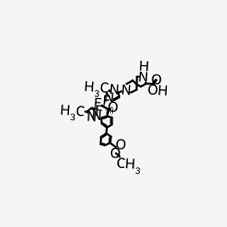 CCOC(=O)c1cccc(-c2ccc([C@@H](Oc3cc(N4CCC5(CC4)CNC(C(=O)O)C5)nc(C)n3)C(F)(F)F)c(-n3ccc(C)n3)c2)c1